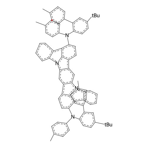 Cc1ccc(-c2cc(C(C)(C)C)ccc2N(c2ccc(C)cc2)c2ccc3c4cc5c(cc4n4c6ccccc6c2c34)c2ccc(N(c3ccc(C)cc3)c3ccc(C(C)(C)C)cc3-c3ccc(C)cc3)c3c4ccccc4n5c23)cc1